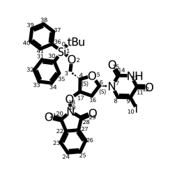 CC(C)(C)[Si](OC[C@@H]1O[C@H](n2cc(I)c(=O)[nH]c2=O)CC1ON1C(=O)c2ccccc2C1=O)(c1ccccc1)c1ccccc1